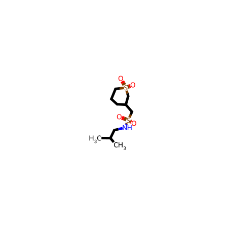 CC(C)CNS(=O)(=O)CC1CCCS(=O)(=O)C1